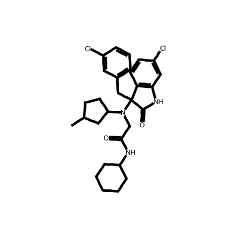 CC1CCC(N(CC(=O)NC2CCCCC2)C2(Cc3cccc(Cl)c3)C(=O)Nc3cc(Cl)ccc32)C1